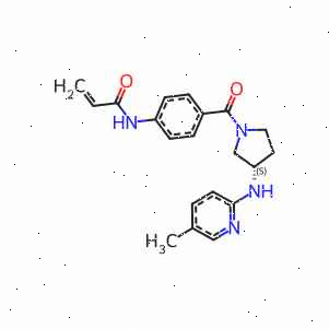 C=CC(=O)Nc1ccc(C(=O)N2CC[C@H](Nc3ccc(C)cn3)C2)cc1